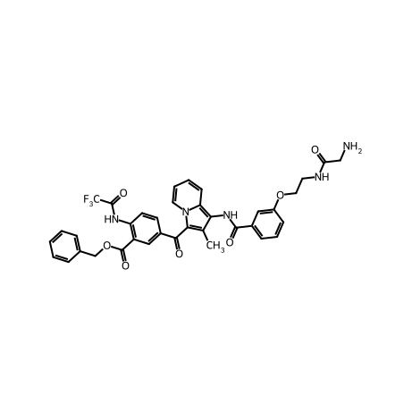 Cc1c(NC(=O)c2cccc(OCCNC(=O)CN)c2)c2ccccn2c1C(=O)c1ccc(NC(=O)C(F)(F)F)c(C(=O)OCc2ccccc2)c1